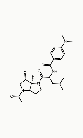 CC(=O)N1CC(=O)[C@@H]2C1CCN2C(=O)[C@H](CC(C)C)NC(=O)c1ccc(N(C)C)cc1